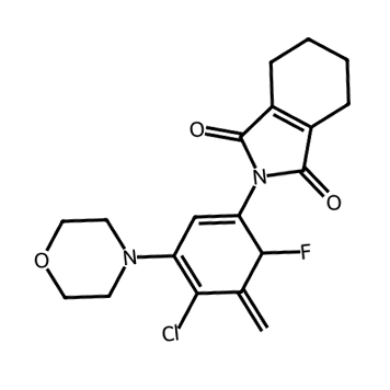 C=C1C(Cl)=C(N2CCOCC2)C=C(N2C(=O)C3=C(CCCC3)C2=O)C1F